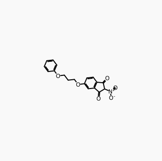 O=C1c2ccc(OCCCOc3ccccc3)cc2C(=O)C1[N+](=O)[O-]